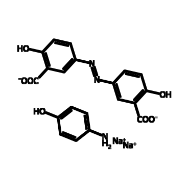 Nc1ccc(O)cc1.O=C([O-])c1cc(N=Nc2ccc(O)c(C(=O)[O-])c2)ccc1O.[Na+].[Na+]